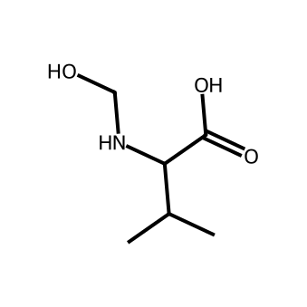 CC(C)C(NCO)C(=O)O